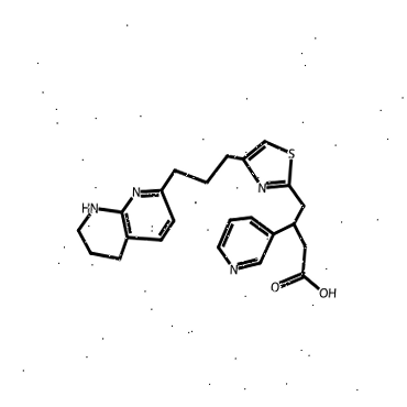 O=C(O)CC(Cc1nc(CCCc2ccc3c(n2)NCCC3)cs1)c1cccnc1